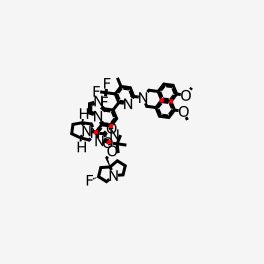 COc1ccc(CN(Cc2ccc(OC)cc2)c2cc(C)c(C(F)(F)F)c(-c3cc4nc(OC[C@@]56CCCN5C[C@H](F)C6)nc(N5[C@@H]6CC[C@H]5CN(C(=O)OC(C)(C)C)C6)c4n4ccnc34)n2)cc1